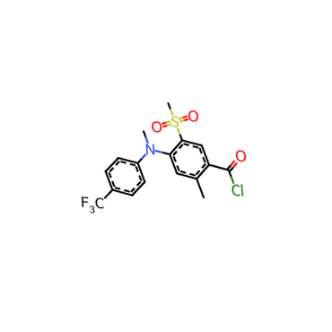 Cc1cc(N(C)c2ccc(C(F)(F)F)cc2)c(S(C)(=O)=O)cc1C(=O)Cl